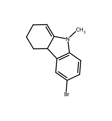 CN1C2=CCCCC2c2cc(Br)ccc21